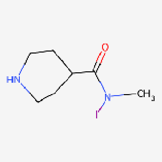 CN(I)C(=O)C1CCNCC1